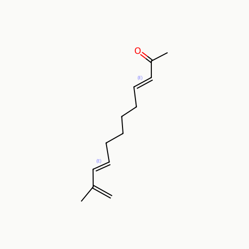 C=C(C)/C=C/CCCC/C=C/C(C)=O